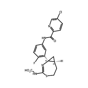 O=C(O)NC1=N[C@@]2(c3cc(NC(=O)c4ccc(Cl)cn4)ccc3F)C[C@H]2CCS1